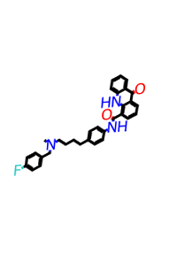 CN(CCCCc1ccc(NC(=O)c2cccc3c(=O)c4ccccc4[nH]c23)cc1)Cc1ccc(F)cc1